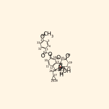 COc1ccc(C(=O)Oc2ccc3c4c2OC2C(=O)CC[C@@]5(O)[C@@H](C3)N(CC3CC3)C[C@]425)cc1